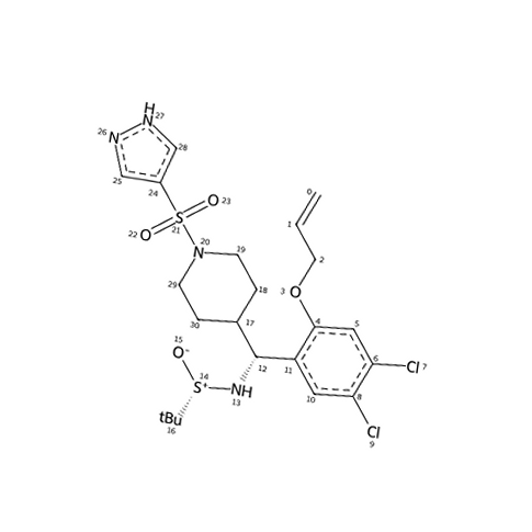 C=CCOc1cc(Cl)c(Cl)cc1[C@H](N[S@@+]([O-])C(C)(C)C)C1CCN(S(=O)(=O)c2cn[nH]c2)CC1